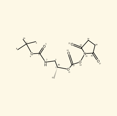 C[C@H](CNC(=O)OC(C)(C)C)OC(=O)ON1C(=O)CCC1=O